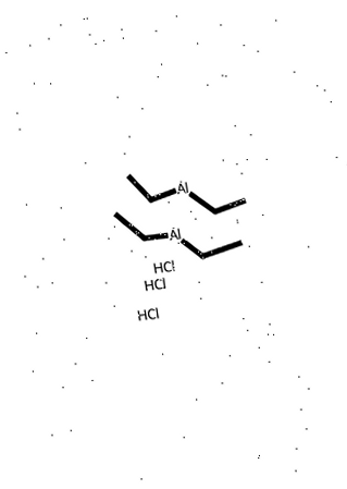 C[CH2][Al][CH2]C.C[CH2][Al][CH2]C.Cl.Cl.Cl